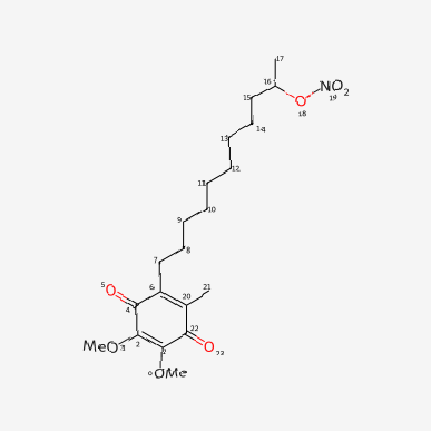 COC1=C(OC)C(=O)C(CCCCCCCCCC(C)O[N+](=O)[O-])=C(C)C1=O